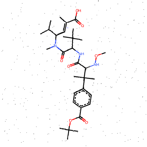 CONC(C(=O)NC(C(=O)N(C)C(/C=C(\C)C(=O)O)C(C)C)C(C)(C)C)C(C)(C)c1ccc(C(=O)OC(C)(C)C)cc1